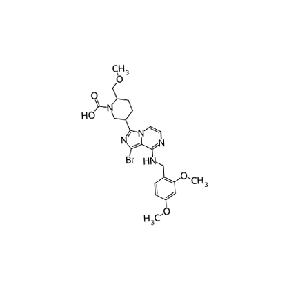 COCC1CCC(c2nc(Br)c3c(NCc4ccc(OC)cc4OC)nccn23)CN1C(=O)O